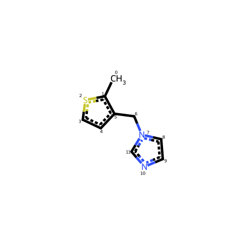 Cc1sccc1Cn1ccnc1